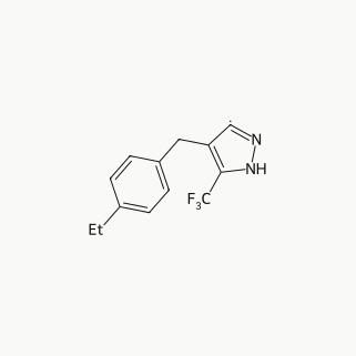 CCc1ccc(Cc2[c]n[nH]c2C(F)(F)F)cc1